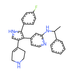 CC(Nc1cc(-c2c(C3=CCNCC3)c[nH]c2-c2ccc(F)cc2)ccn1)c1ccccc1